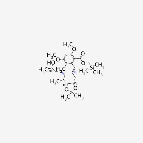 COc1cc(OC)c(C(=O)OC[Si](C)(C)C)c(/C=C/C[C@@H]2OC(C)(C)O[C@@H]2C(C)/C=C\C[C@@H](C)O)c1C